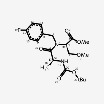 COC[C@H](C(=O)OC)N(Cc1ccc(F)cc1)C(=O)[C@H](C)NC(=O)OC(C)(C)C